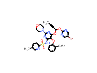 CC#CC(Oc1ncc(Br)cn1)Oc1nc(N2CCOCC2)nc(NS(=O)(=O)c2ccc(C)cn2)c1Oc1ccccc1OC